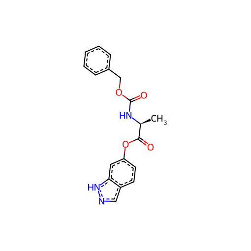 C[C@H](NC(=O)OCc1ccccc1)C(=O)Oc1ccc2cn[nH]c2c1